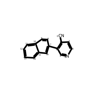 N#Cc1ccncc1-c1ccc2cc[c]cc2c1